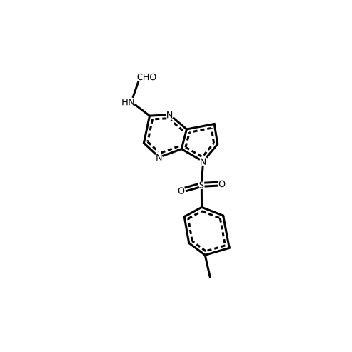 Cc1ccc(S(=O)(=O)n2ccc3nc(NC=O)cnc32)cc1